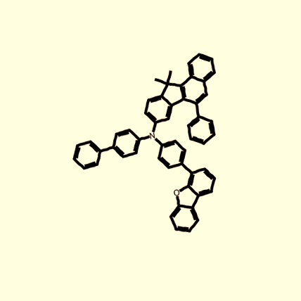 CC1(C)c2ccc(N(c3ccc(-c4ccccc4)cc3)c3ccc(-c4cccc5c4oc4ccccc45)cc3)cc2-c2c(-c3ccccc3)cc3ccccc3c21